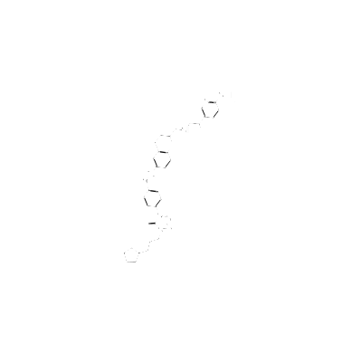 Nc1ccc(C(O)CNCC2CCc3cc(S(=O)(=O)Nc4ccc(-n5nnn(CCCC6CCCC6)c5=O)cc4)ccc3O2)cn1